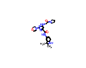 Cc1[nH]c2ccc(NC(=O)c3cc(NCC(=O)N4CCCC4)nc(N4CCOCC4)n3)cc2c1C